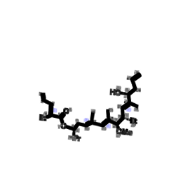 C=C/C=C(\CC)C(=O)O[C@@H](C/C=C(C)/C=C(\C)[C@H](OC)[C@H](/C=C(\C)[C@@H](O)CC=C)CC)C(C)C